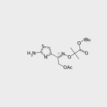 CC(=O)OC/C(=N\OC(C)(C)C(=O)OC(C)(C)C)c1csc(N)n1